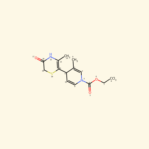 CC1=CN(C(=O)OCC(Cl)(Cl)Cl)C=CC1C1=C(C)NC(=O)CS1